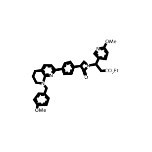 CCOC(=O)CC(c1ccc(OC)nc1)N1CC(c2ccc(-c3ccc4c(n3)N(Cc3ccc(OC)cc3)CCC4)cc2)C1=O